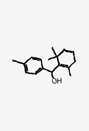 CC1=C(C(O)c2ccc(C)cc2)C(C)(C)CCC1